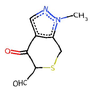 Cn1ncc2c1CSC(C=O)C2=O